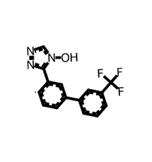 On1cnnc1-c1[c]ccc(-c2cccc(C(F)(F)F)c2)c1